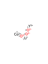 [Co+2].[Li+].[O-2].[O-2].[O-2].[Y+3]